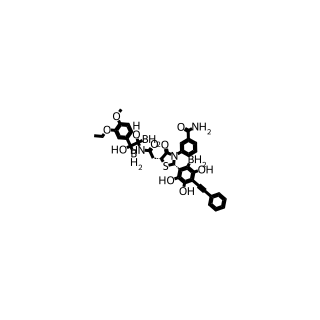 Bc1c(O)c(C#Cc2ccccc2)c(O)c(O)c1[C@@H]1S[C@H](CC(=O)NC(B)(O)C(B)(O)c2ccc(OC)c(OCC)c2)C(=O)N1c1cccc(C(N)=O)c1